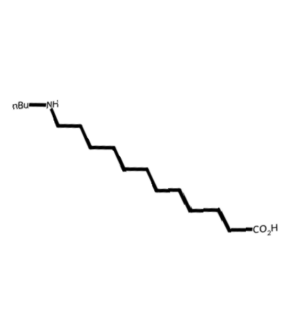 CCCCNCCCCCCCCCCCC(=O)O